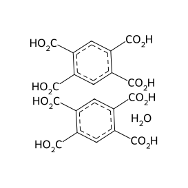 O.O=C(O)c1cc(C(=O)O)c(C(=O)O)cc1C(=O)O.O=C(O)c1cc(C(=O)O)c(C(=O)O)cc1C(=O)O